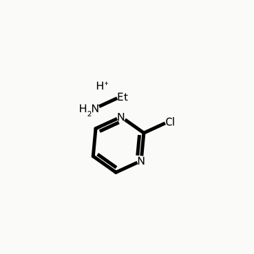 CCN.Clc1ncccn1.[H+]